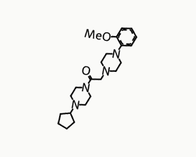 COc1ccccc1N1CCN(CC(=O)N2CCN(C3CCCC3)CC2)CC1